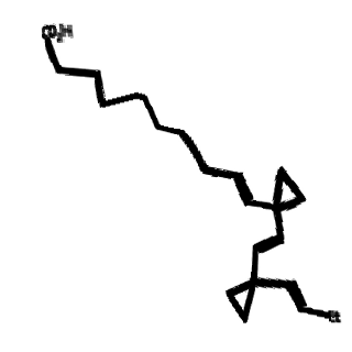 CC/C=C/C1(/C=C/C2(/C=C/CCCCCCCC(=O)O)CC2)CC1